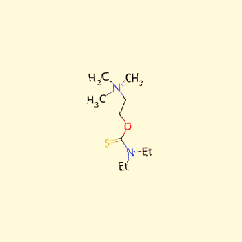 CCN(CC)C(=S)OCC[N+](C)(C)C